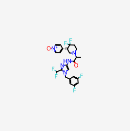 CC(C(=O)Nc1cn(Cc2cc(F)cc(F)c2)c(C(F)F)n1)N1CCC(F)(F)[C@@H](c2cc[n+]([O-])cc2)C1